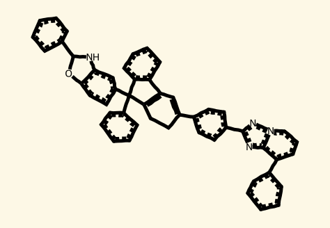 C1=C(c2ccc(-c3nc4c(-c5ccccc5)cccn4n3)cc2)CCC2=C1c1ccccc1C2(c1ccccc1)c1ccc2c(c1)NC(c1ccccc1)O2